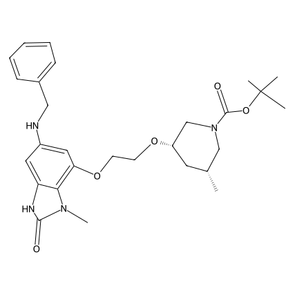 C[C@@H]1C[C@H](OCCOc2cc(NCc3ccccc3)cc3[nH]c(=O)n(C)c23)CN(C(=O)OC(C)(C)C)C1